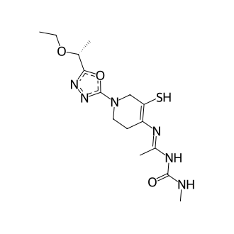 CCO[C@H](C)c1nnc(N2CCC(/N=C(\C)NC(=O)NC)=C(S)C2)o1